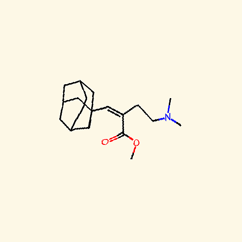 COC(=O)C(=CC12CC3CC(CC(C3)C1)C2)CCN(C)C